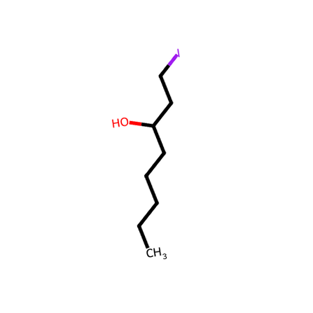 CCCCCC(O)CCI